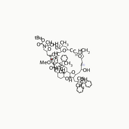 C=C1C(C)CC2CC[C@@H]3OC(/C=C/C(O)CC4OC5C(CC(C)(C)[Si](O)(c6ccccc6)c6ccccc6)[C@H]6OC(CCC6O[C@H]5C4CC(C)(C)[Si](O)(c4ccccc4)c4ccccc4)CC(=O)CC4[C@H](CC1O2)O[C@H](CC1CN(C(=O)OC(C)(C)C)C(C)(C)O1)[C@@H]4OC)CC3=C